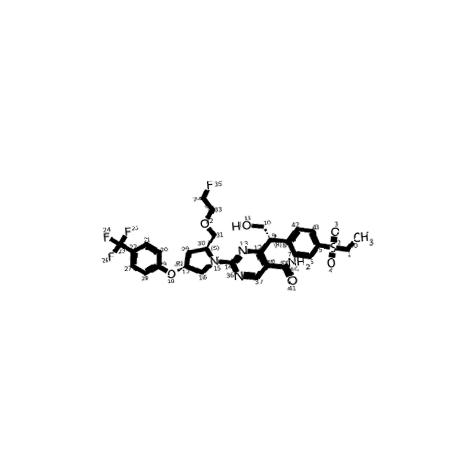 CCS(=O)(=O)c1ccc([C@@H](CO)c2nc(N3C[C@H](Oc4ccc(C(F)(F)F)cc4)C[C@H]3COCCF)ncc2C(N)=O)cc1